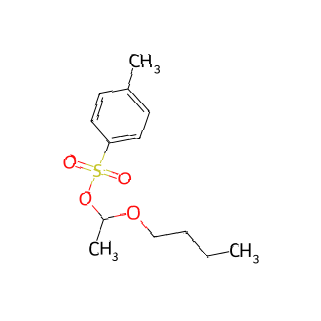 CCCCOC(C)OS(=O)(=O)c1ccc(C)cc1